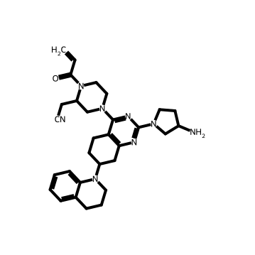 C=CC(=O)N1CCN(c2nc(N3CCC(N)C3)nc3c2CCC(N2CCCc4ccccc42)C3)CC1CC#N